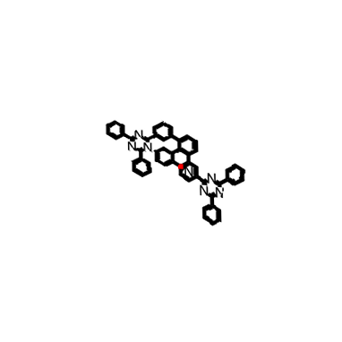 N#Cc1ccccc1-c1c(-c2cccc(-c3nc(-c4ccccc4)nc(-c4ccccc4)n3)c2)cccc1-c1cccc(-c2nc(-c3ccccc3)nc(-c3ccccc3)n2)c1